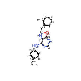 Cc1ccccc1Cc1nc2c(Nc3ccc(C(F)(F)F)cc3)ncnc2o1